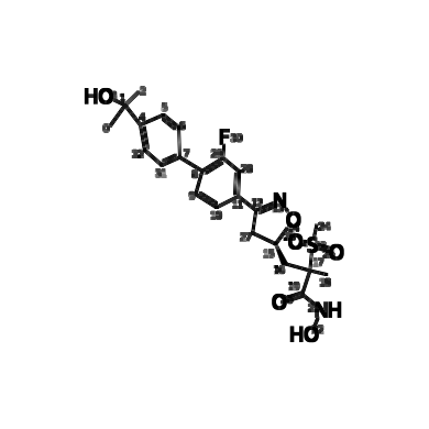 CC(C)(O)c1ccc(-c2ccc(C3=NO[C@@H](CC(C)(C(=O)NO)S(C)(=O)=O)C3)cc2F)cc1